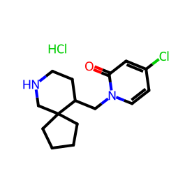 Cl.O=c1cc(Cl)ccn1CC1CCNCC12CCCC2